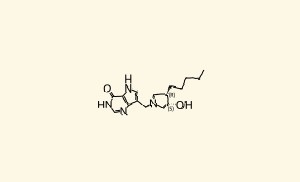 CCCCC[C@@H]1CN(Cc2c[nH]c3c(=O)[nH]cnc23)C[C@H]1O